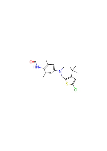 Cc1cc(N2CCC(C)(C)c3cc(Cl)sc3C2)cc(C)c1NC=O